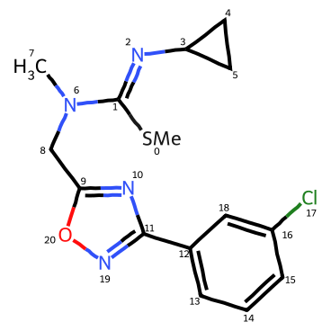 CS/C(=N\C1CC1)N(C)Cc1nc(-c2cccc(Cl)c2)no1